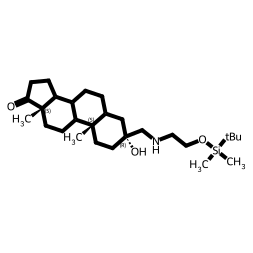 CC(C)(C)[Si](C)(C)OCCNC[C@@]1(O)CC[C@@]2(C)C(CCC3C2CC[C@]2(C)C(=O)CCC32)C1